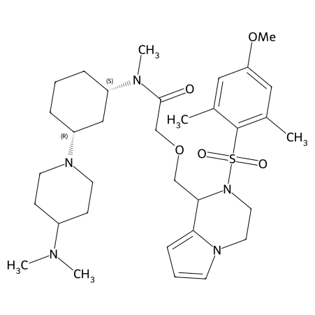 COc1cc(C)c(S(=O)(=O)N2CCn3cccc3C2COCC(=O)N(C)[C@H]2CCC[C@@H](N3CCC(N(C)C)CC3)C2)c(C)c1